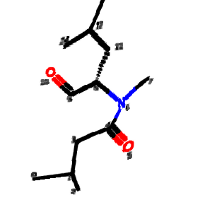 CC(C)CC(=O)N(C)[C@H](C=O)CC(C)C